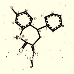 CON=C1CC(c2ccccc2)c2ccc(C)cc2NC1=O